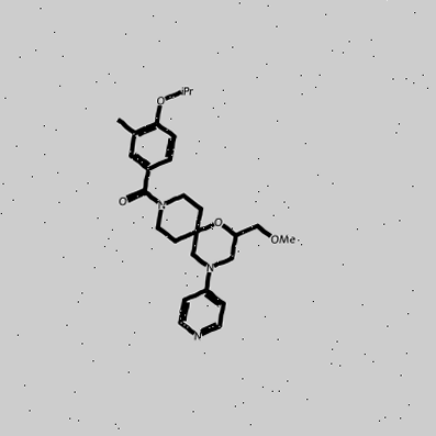 COCC1CN(c2ccncc2)CC2(CCN(C(=O)c3ccc(OC(C)C)c(C)c3)CC2)O1